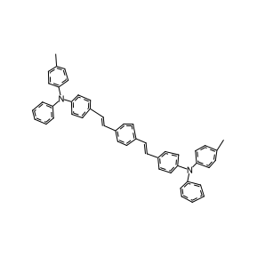 Cc1ccc(N(c2ccccc2)c2ccc(/C=C/c3ccc(/C=C/c4ccc(N(c5ccccc5)c5ccc(C)cc5)cc4)cc3)cc2)cc1